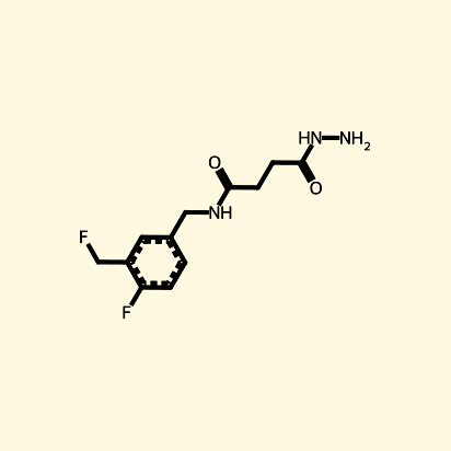 NNC(=O)CCC(=O)NCc1ccc(F)c(CF)c1